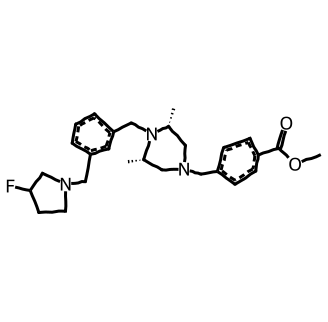 COC(=O)c1ccc(CN2C[C@@H](C)N(Cc3cccc(CN4CCC(F)C4)c3)[C@@H](C)C2)cc1